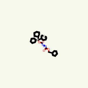 O=C(/N=N/C(=O)O[Si](c1ccccc1)(c1ccccc1)c1ccccc1)OCc1ccccc1